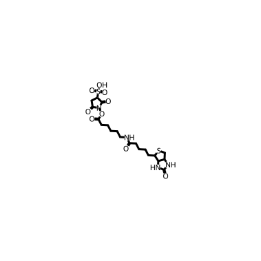 O=C(CCCCC1SCC2NC(=O)NC21)NCCCCCC(=O)ON1C(=O)CC(S(=O)(=O)O)C1=O